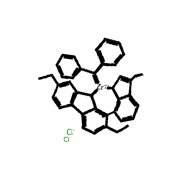 CCc1ccc2c(c1)[CH]([Zr+2](=[C](c1ccccc1)c1ccccc1)[CH]1C=C(C)c3cccc(C)c31)c1cc(CC)ccc1-2.[Cl-].[Cl-]